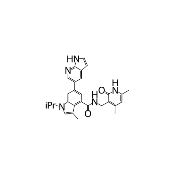 Cc1cc(C)c(CNC(=O)c2cc(-c3cnc4[nH]ccc4c3)cc3c2c(C)cn3C(C)C)c(=O)[nH]1